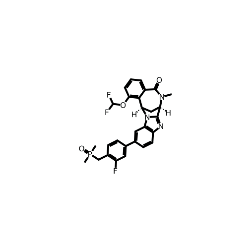 CN1C(=O)c2cccc(OC(F)F)c2[C@H]2C[C@@H]1c1nc3ccc(-c4ccc(CP(C)(C)=O)c(F)c4)cc3n12